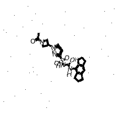 CC(=O)N1CC(n2ccc(S(=O)(=O)NC(O)Nc3c4c(cc5c3CCC5)CCC4)n2)C1